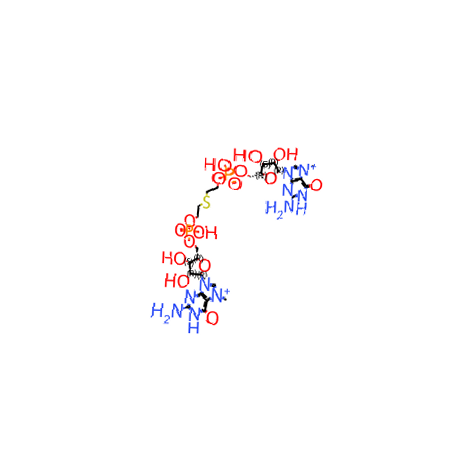 C[n+]1cn([C@@H]2O[C@H](COP(=O)(O)OCCSCCOP(=O)(O)OC[C@H]3O[C@@H](n4c[n+](C)c5c(=O)[nH]c(N)nc54)[C@H](O)[C@@H]3O)[C@@H](O)[C@H]2O)c2nc(N)[nH]c(=O)c21